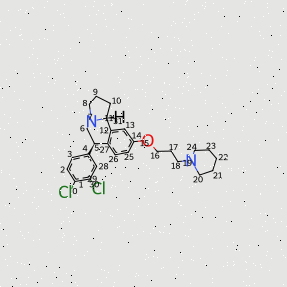 Clc1ccc([C@H]2CN3CCC[C@@H]3c3cc(OCCCN4CCCCC4)ccc32)cc1Cl